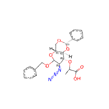 CC(O[C@H]1[C@@H]2O[C@@H](c3ccccc3)OC[C@H]2OC(OCc2ccccc2)[C@@H]1N=[N+]=[N-])C(=O)O